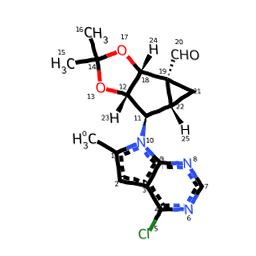 Cc1cc2c(Cl)ncnc2n1[C@H]1[C@@H]2OC(C)(C)O[C@@H]2[C@@]2(C=O)C[C@H]12